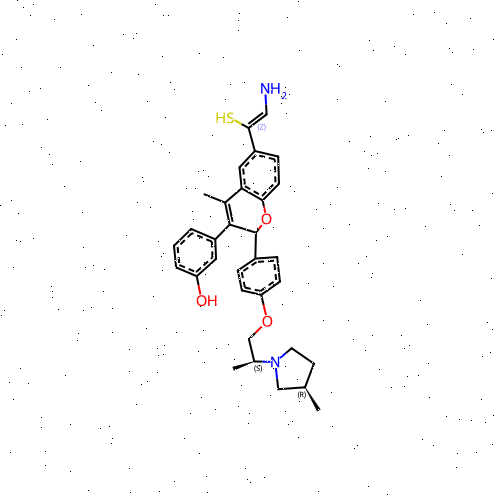 CC1=C(c2cccc(O)c2)C(c2ccc(OC[C@H](C)N3CC[C@@H](C)C3)cc2)Oc2ccc(/C(S)=C/N)cc21